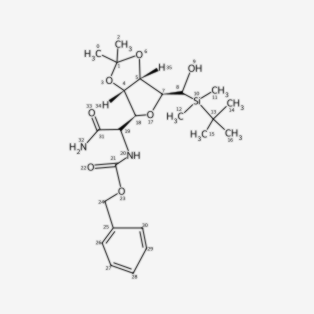 CC1(C)O[C@@H]2[C@H](O1)[C@@H](C(O)[Si](C)(C)C(C)(C)C)O[C@H]2C(NC(=O)OCc1ccccc1)C(N)=O